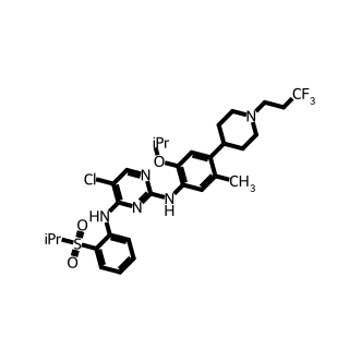 Cc1cc(Nc2ncc(Cl)c(Nc3ccccc3S(=O)(=O)C(C)C)n2)c(OC(C)C)cc1C1CCN(CCC(F)(F)F)CC1